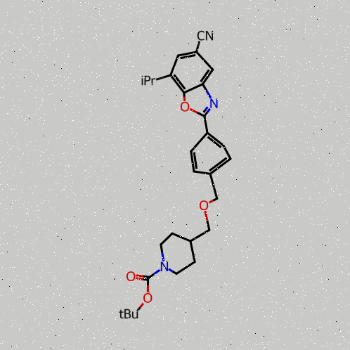 CC(C)c1cc(C#N)cc2nc(-c3ccc(COCC4CCN(C(=O)OC(C)(C)C)CC4)cc3)oc12